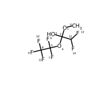 COC(O)(OC(F)(F)C(F)(F)F)[C](F)F